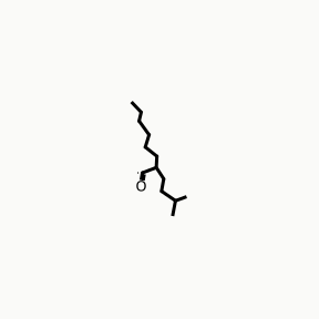 CCCCCCC([C]=O)CCC(C)C